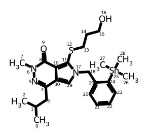 CC(C)Cc1nn(C)c(=O)c2c(SCCCO)n(Cc3cccc[c]3[Sn]([CH3])([CH3])[CH3])cc12